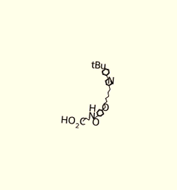 CC(C)(C)c1ccc(-c2ccc(CCCCCCOc3ccc(C(=O)NCCC(=O)O)cc3)cn2)cc1